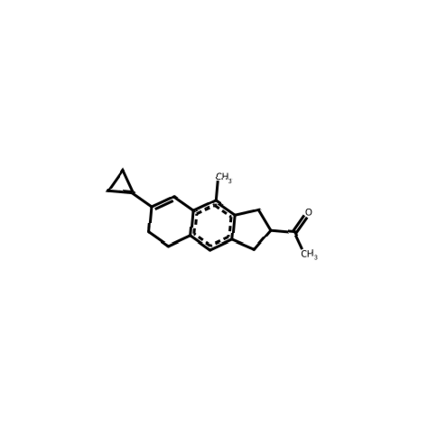 CC(=O)C1Cc2cc3c(c(C)c2C1)C=C(C1CC1)CC3